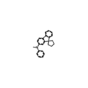 CN(c1ccccc1)c1ccc2c(c1)C1(CCCC1)c1ccccc1-2